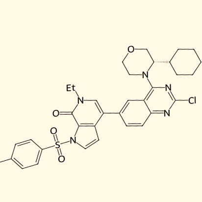 CCn1cc(-c2ccc3nc(Cl)nc(N4CCOC[C@@H]4C4CCCCC4)c3c2)c2ccn(S(=O)(=O)c3ccc(C)cc3)c2c1=O